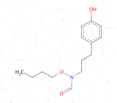 CCCCON(C=O)CCCc1ccc(O)cc1